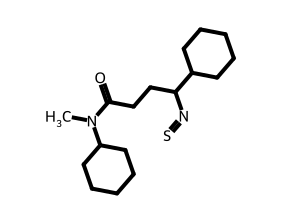 CN(C(=O)CCC(N=S)C1CCCCC1)C1CCCCC1